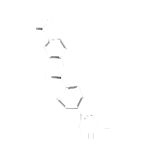 CCN(CC)c1ccc(C(=O)Oc2ccc(C(=O)O)cc2)cc1